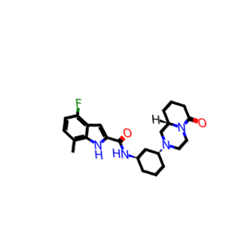 Cc1ccc(F)c2cc(C(=O)N[C@@H]3CCC[C@@H](N4CCN5C(=O)CCC[C@H]5C4)C3)[nH]c12